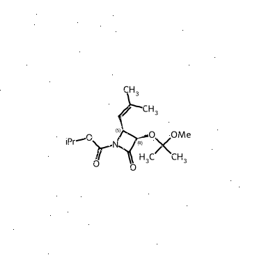 COC(C)(C)O[C@H]1C(=O)N(C(=O)OC(C)C)[C@H]1C=C(C)C